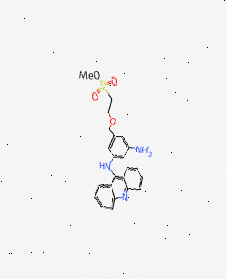 COS(=O)(=O)CCOCc1cc(N)cc(Nc2c3ccccc3nc3ccccc23)c1